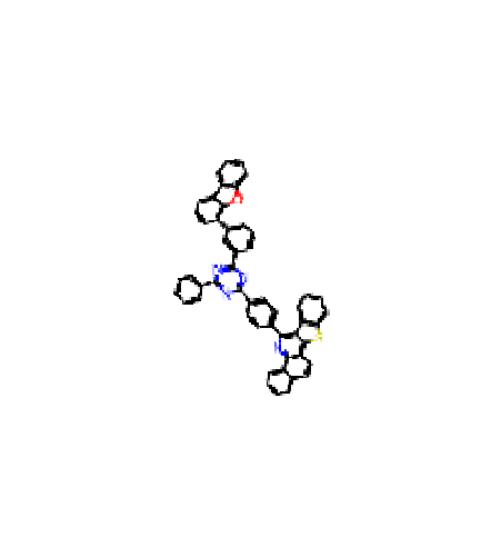 c1ccc(-c2nc(-c3ccc(-c4nc5c6ccccc6ccc5c5sc6ccccc6c45)cc3)nc(-c3cccc(-c4cccc5c4oc4ccccc45)c3)n2)cc1